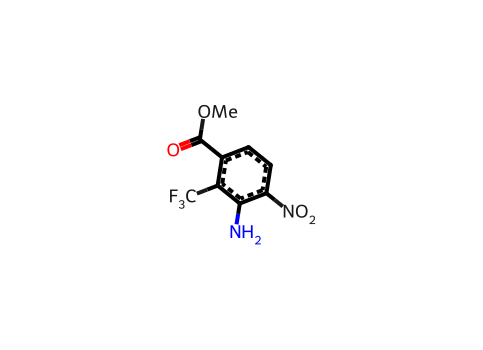 COC(=O)c1ccc([N+](=O)[O-])c(N)c1C(F)(F)F